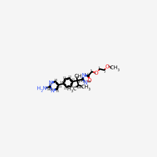 COCCOCc1nc(C(C)(c2ccc(-c3cnc(N)nc3)cc2)C(C)C)no1